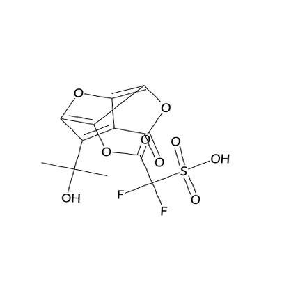 CC(C)(O)c1c2c3oc1c(OC(=O)C(F)(F)S(=O)(=O)O)c3OC2=O